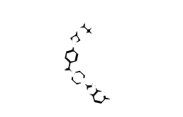 Cc1ccc2oc(N3CCN(C(=O)c4ccc(N5CC(OC(C)C(F)(F)F)C5)cc4)CC3)nc2n1